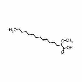 CCCCCCCCC=CCCCC(OC)C(=O)O